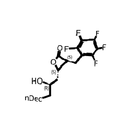 CCCCCCCCCCC[C@@H](O)C[C@@H]1OC(=O)[C@H]1Cc1c(F)c(F)c(F)c(F)c1F